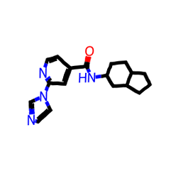 O=C(NC1CCC2CCCC2C1)c1ccnc(-n2ccnc2)c1